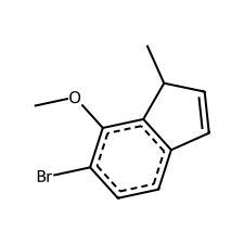 COc1c(Br)ccc2c1C(C)C=C2